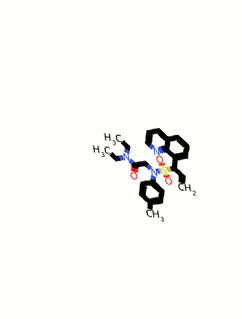 C=CC(c1cccc2cccnc12)S(=O)(=O)N(CC(=O)N(CC)CC)c1ccc(C)cc1